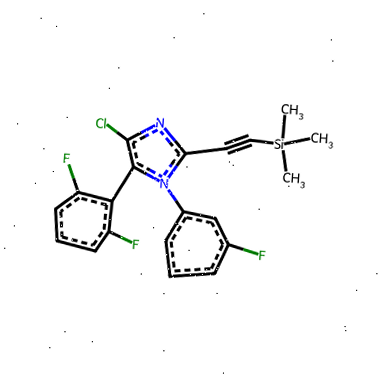 C[Si](C)(C)C#Cc1nc(Cl)c(-c2c(F)cccc2F)n1-c1cccc(F)c1